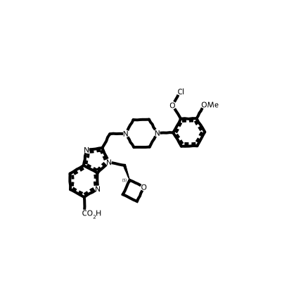 COc1cccc(N2CCN(Cc3nc4ccc(C(=O)O)nc4n3C[C@@H]3CCO3)CC2)c1OCl